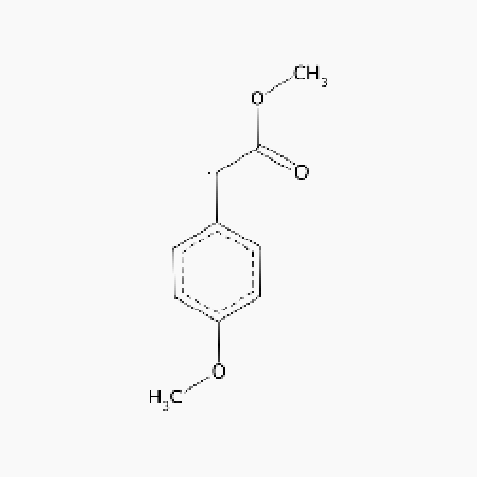 COC(=O)[CH]c1ccc(OC)cc1